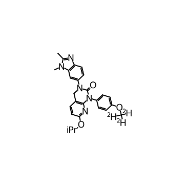 [2H]C([2H])([2H])Oc1ccc(N2C(=O)N(c3ccc4nc(C)n(C)c4c3)Cc3ccc(OC(C)C)nc32)cc1